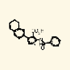 O=C(Nc1scc(-c2ccc3c(c2)CCCC3)c1C(=O)O)c1ccccc1